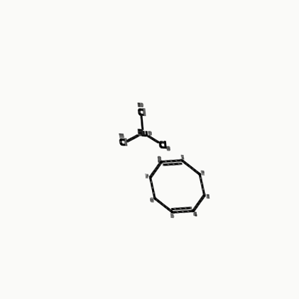 [C]1=CCCC=CCC1.[Cl][Ru]([Cl])[Cl]